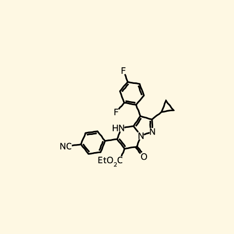 CCOC(=O)c1c(-c2ccc(C#N)cc2)[nH]c2c(-c3ccc(F)cc3F)c(C3CC3)nn2c1=O